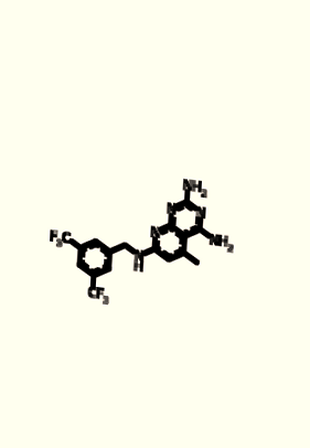 Cc1cc(NCc2cc(C(F)(F)F)cc(C(F)(F)F)c2)nc2nc(N)nc(N)c12